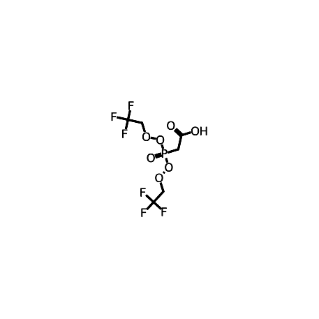 O=C(O)CP(=O)(OOCC(F)(F)F)OOCC(F)(F)F